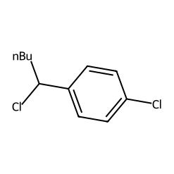 CCCCC(Cl)c1ccc(Cl)cc1